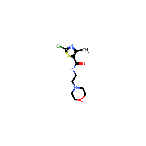 Cc1nc(Cl)sc1C(=O)NCCN1CCOCC1